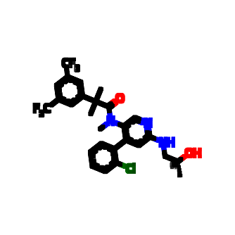 C[C@@H](O)CNc1cc(-c2ccccc2Cl)c(N(C)C(=O)C(C)(C)c2cc(C(F)(F)F)cc(C(F)(F)F)c2)cn1